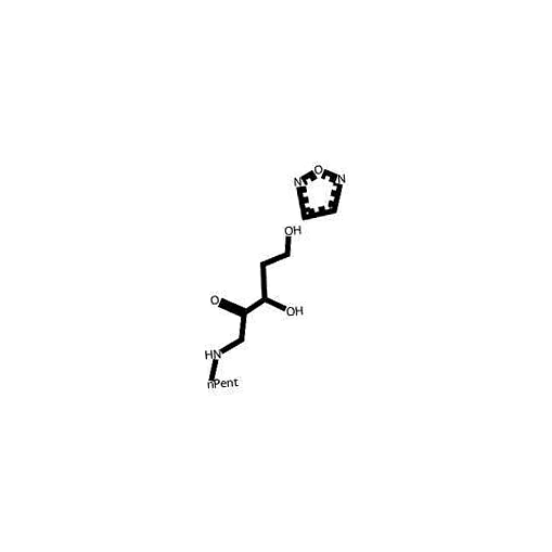 CCCCCNCC(=O)C(O)CCO.c1cnon1